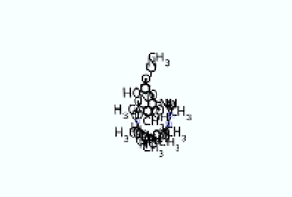 CO[C@H]1/C=C/O[C@@]2(C)Oc3c(C)c(O)c4c(=O)c(c5oc6cc(OCC7CCN(C)CC7)cc(O)c6nc-5c4c3C2=O)NC(=O)/C(C)=C\C=C\[C@H](C)[C@@H]2O[C@H]([C@H](O)[C@@H]2C)[C@H](OC(C)=O)[C@@H]1C